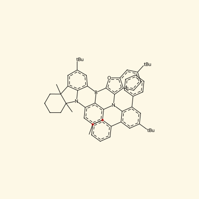 Cc1cc2c3c(c1)N1c4c(cc(C(C)(C)C)cc4C4(C)CCCCC14C)B3c1oc3cc(C(C)(C)C)ccc3c1N2c1c(-c2ccccc2)cc(C(C)(C)C)cc1-c1ccccc1